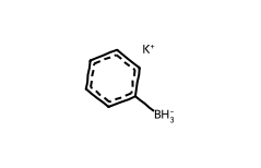 [BH3-]c1ccccc1.[K+]